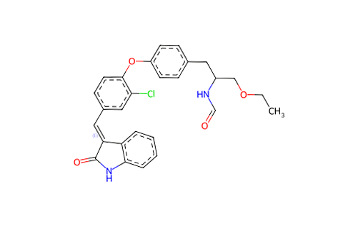 CCOCC(Cc1ccc(Oc2ccc(/C=C3/C(=O)Nc4ccccc43)cc2Cl)cc1)NC=O